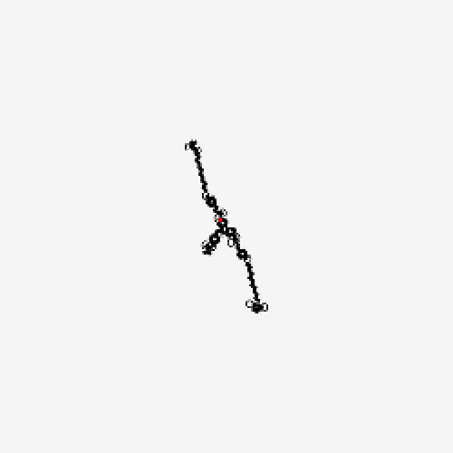 C=C(C)C(=O)Oc1ccc(Cc2nc3cc(OC(=O)CCc4ccc(OCCCCCCCCCCCCN5C(=O)C=CC5=O)cc4)ccc3c3ccc(OC(=O)CCc4ccc(OCCCCCCCCCCCCOC5OC5(C)C)cc4)cc23)cc1